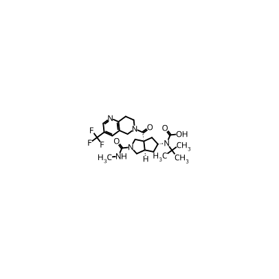 CNC(=O)N1C[C@@H]2C[C@@H](N(C(=O)O)C(C)(C)C)C[C@]2(C(=O)N2CCc3ncc(C(F)(F)F)cc3C2)C1